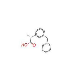 C[C@@H](C(=O)O)c1cccc(Cc2ccccc2)c1